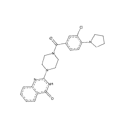 O=C(c1ccc(N2CCCC2)c(Cl)c1)N1CCN(c2nc3ccccc3c(=O)[nH]2)CC1